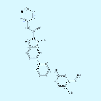 Cc1c(C(=O)NC(/C=C\N)=C/N)[nH]c2ccc(-c3nccc(Nc4ccc(N)c(C=N)c4)n3)cc12